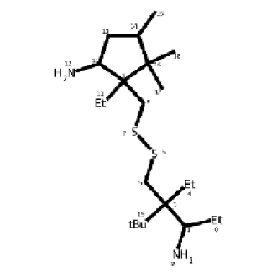 CCC(N)C(CC)(CSSCC1(CC)C(N)CC(C)C1(C)C)C(C)(C)C